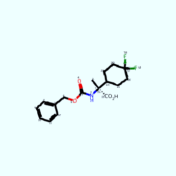 C[C@@](NC(=O)OCc1ccccc1)(C(=O)O)C1CCC(F)(F)CC1